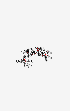 CCCCC(CC)C[Si]1(CC(CC)CCCC)c2cc(C=O)sc2-c2sc(-c3ccc(-c4cc5c(s4)-c4sc(-c6ccc(-c7cc8c(s7)-c7sc(-c9ccc(-c%10cc%11c(s%10)-c%10sc(OC)cc%10[Si]%11(CC(CC)CCCC)CC(CC)CCCC)c%10nsnc9%10)cc7[Si]8(CC(CC)CCCC)CC(CC)CCCC)c7nsnc67)cc4[Si]5(CC(CC)CCCC)CC(CC)CCCC)c4nsnc34)cc21